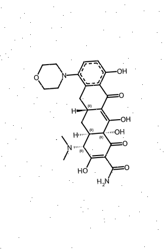 CN(C)[C@H]1C(O)=C(C(N)=O)C(=O)[C@]2(O)C(O)=C3C(=O)c4c(O)ccc(N5CCOCC5)c4C[C@H]3C[C@H]12